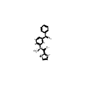 O=C(c1ccccc1)c1cccc(N(C(=O)c2ncc[nH]2)[N+](=O)[O-])c1